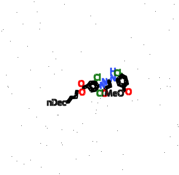 CCCCCCCCCCCCCCOC(=O)c1cc(Cl)c(N2N=C(Nc3cc(C(=O)OC)ccc3Cl)CC2=O)c(Cl)c1